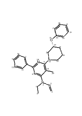 C=NN(CC)c1nc(-c2cccnc2)nc(N2CCC[C@@H](Oc3ccccc3)C2)c1C